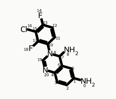 Nc1ccc2c(c1)C(N)N(c1ccc(F)c(Cl)c1F)C=N2